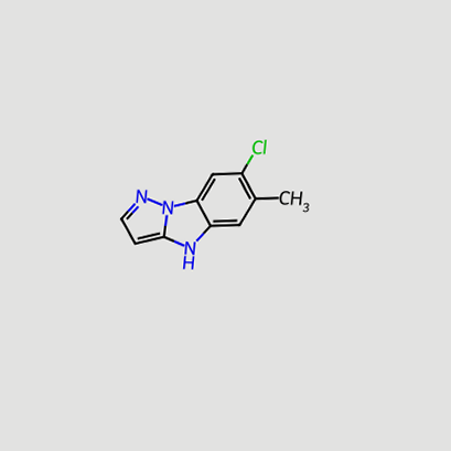 Cc1cc2[nH]c3ccnn3c2cc1Cl